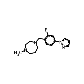 CN1CCCN(Cc2ccc(-n3cccn3)cc2F)CC1